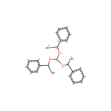 CCCC(OB(OC(CCC)c1ccccc1)OC(CCC)c1ccccc1)c1ccccc1